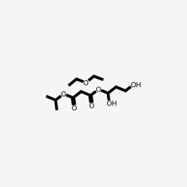 CC(C)OC(=O)CC(=O)OC(O)CCO.CCOCC